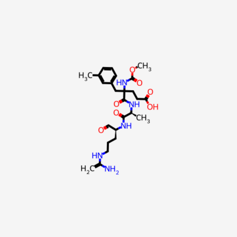 C=C(N)NCCC[C@@H](C=O)NC(=O)[C@H](C)NC(=O)C(CCC(=O)O)(Cc1cccc(C)c1)NC(=O)OC